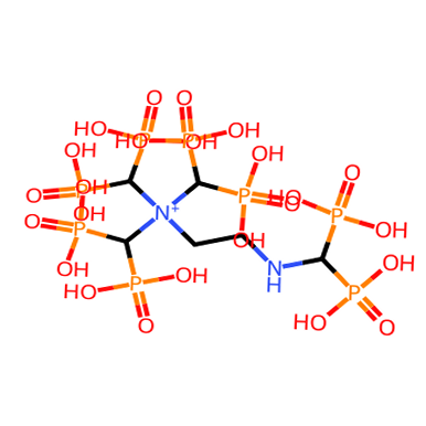 O=P(O)(O)C(NCC[N+](C(P(=O)(O)O)P(=O)(O)O)(C(P(=O)(O)O)P(=O)(O)O)C(P(=O)(O)O)P(=O)(O)O)P(=O)(O)O